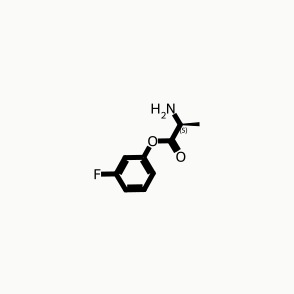 C[C@H](N)C(=O)Oc1cccc(F)c1